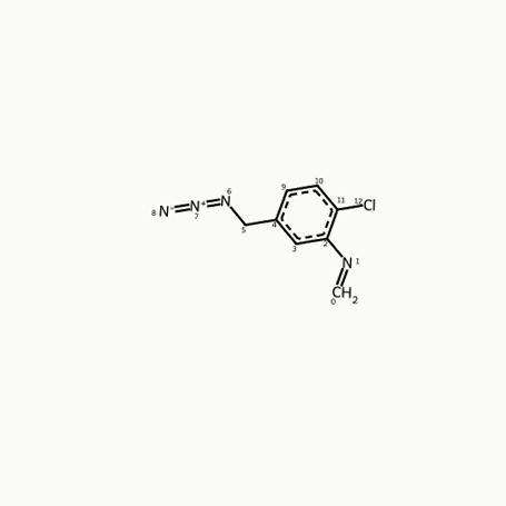 C=Nc1cc(CN=[N+]=[N-])ccc1Cl